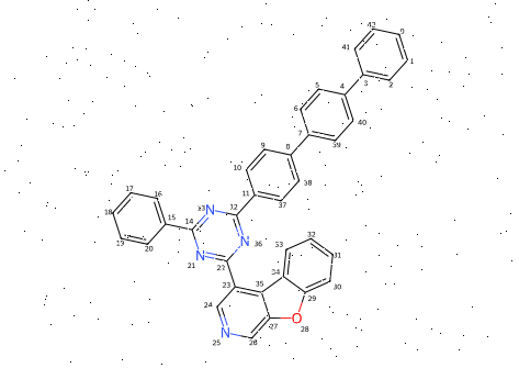 c1ccc(-c2ccc(-c3ccc(-c4nc(-c5ccccc5)nc(-c5cncc6oc7ccccc7c56)n4)cc3)cc2)cc1